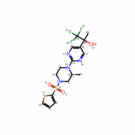 C[C@H]1CN(S(=O)(=O)c2cccs2)CCN1c1ncc(C(C)(O)C(F)(F)F)cn1